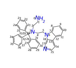 NCCN(CCn1c2ccccc2c2ccncc21)C(c1ccccc1)(c1ccccc1)c1ccccc1